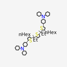 CCCCCCc1cc(-c2ccc(N(c3ccccc3)c3ccccc3)cc2)sc1C(C)(CC)c1ccc(C(C)(CC)c2sc(-c3ccc(N(c4ccccc4)c4ccccc4)cc3)cc2CCCCCC)s1